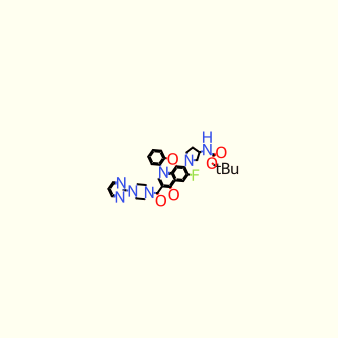 CC(C)(C)OC(=O)NC1CCN(c2c(F)cc3c(=O)c(C(=O)N4CCN(c5ncccn5)CC4)cn4c3c2Oc2ccccc2-4)C1